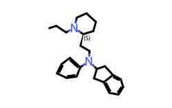 CCCN1CCCC[C@H]1CCN(c1ccccc1)C1Cc2ccccc2C1